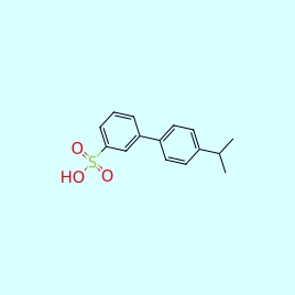 CC(C)c1ccc(-c2cccc(S(=O)(=O)O)c2)cc1